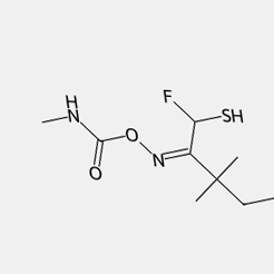 CCC(C)(C)C(=NOC(=O)NC)C(F)S